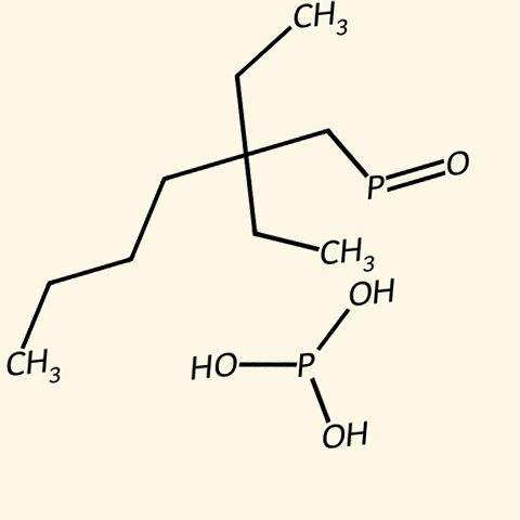 CCCCC(CC)(CC)CP=O.OP(O)O